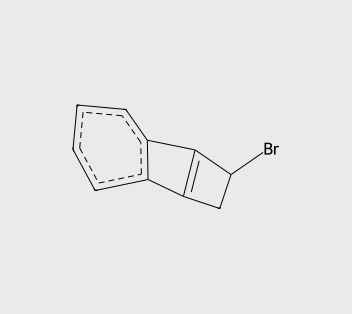 BrC1CC2=C1c1ccccc12